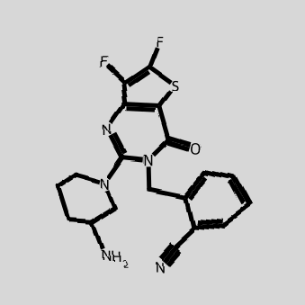 N#Cc1ccccc1Cn1c(N2CCCC(N)C2)nc2c(F)c(F)sc2c1=O